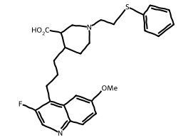 COc1ccc2ncc(F)c(CCCC3CCN(CCSc4ccccc4)CC3C(=O)O)c2c1